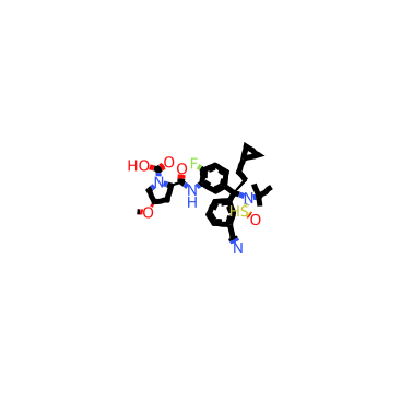 CO[C@@H]1C[C@H](C(=O)Nc2cc([C@@](CCC3CC3)(c3cccc(C#N)c3)N([SH]=O)C(C)(C)C)ccc2F)N(C(=O)O)C1